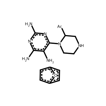 CC(=O)C1CNCCN1c1nc(N)nc(N)c1N.c1cc2ccc1o2